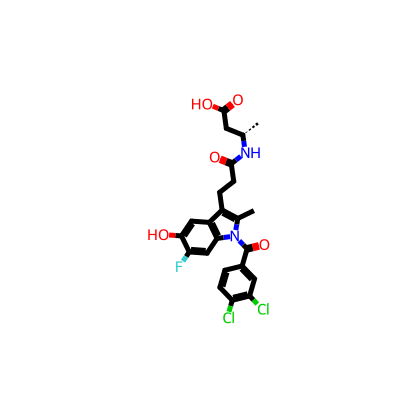 Cc1c(CCC(=O)N[C@@H](C)CC(=O)O)c2cc(O)c(F)cc2n1C(=O)c1ccc(Cl)c(Cl)c1